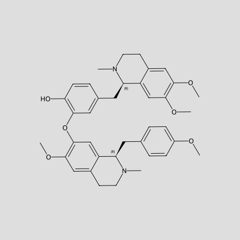 COc1ccc(C[C@@H]2c3cc(Oc4cc(C[C@@H]5c6cc(OC)c(OC)cc6CCN5C)ccc4O)c(OC)cc3CCN2C)cc1